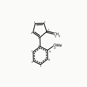 C=C1C=CC=C1c1ccccc1OC